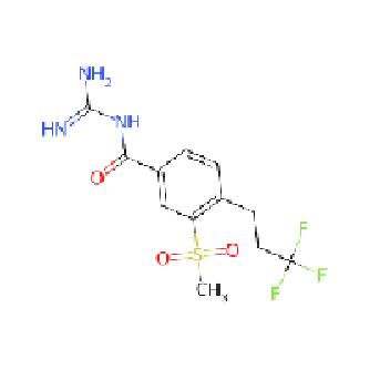 CS(=O)(=O)c1cc(C(=O)NC(=N)N)ccc1CCC(F)(F)F